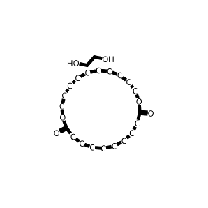 O=C1CCCCCCCCC(=O)OCCCCCCCCCCO1.OCCO